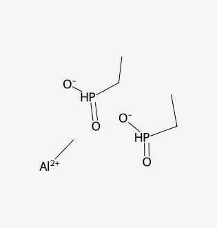 CC[PH](=O)[O-].CC[PH](=O)[O-].[CH3][Al+2]